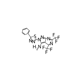 Nc1c2c(C(F)(F)F)nc(C(F)(F)F)nc2nn1-c1nnc(-c2ccccc2)s1